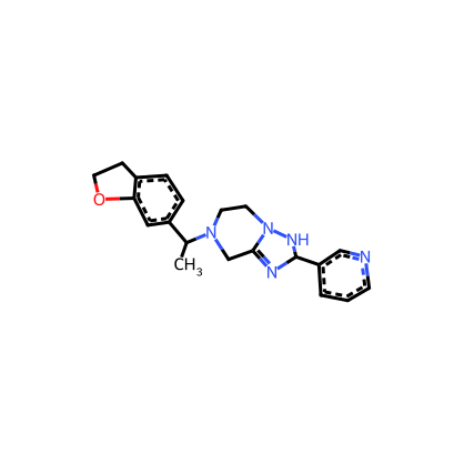 CC(c1ccc2c(c1)OCC2)N1CCN2NC(c3cccnc3)N=C2C1